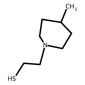 CC1CCN(CCS)CC1